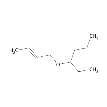 [CH2]C=CCOC(CC)CCC